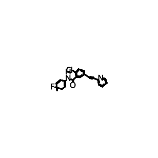 CC1(F)C=CC(NC(=O)c2cc(C#Cc3ccccn3)ccc2Cl)=CC1